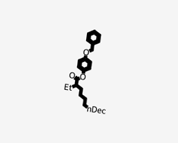 CCCCCCCCCCCCCCC(CC)C(=O)Oc1ccc(OCc2ccccc2)cc1